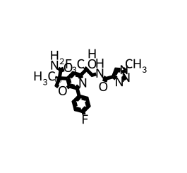 Cn1cc(C(=O)NCC(O)(c2cc3c(c(-c4ccc(F)cc4)n2)OC[C@]3(C)C(N)=O)C(F)(F)F)nn1